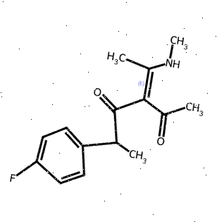 CN/C(C)=C(\C(C)=O)C(=O)C(C)c1ccc(F)cc1